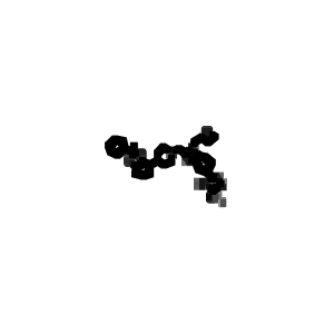 CC1(c2ccccc2)Oc2cccc(C3CCN(Cc4nc5cc(-c6nnc(C(F)(F)F)[nH]6)ccc5n4CC4CCO4)CC3)c2O1